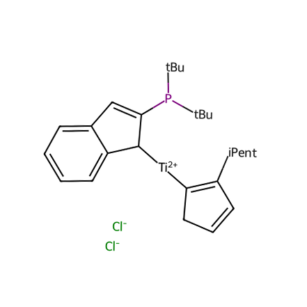 CCCC(C)C1=[C]([Ti+2][CH]2C(P(C(C)(C)C)C(C)(C)C)=Cc3ccccc32)CC=C1.[Cl-].[Cl-]